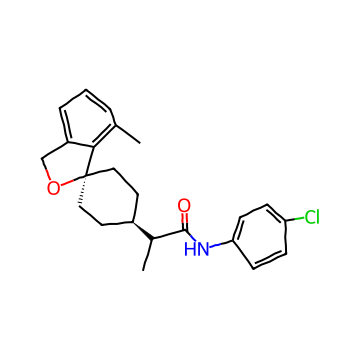 Cc1cccc2c1[C@]1(CC[C@H](C(C)C(=O)Nc3ccc(Cl)cc3)CC1)OC2